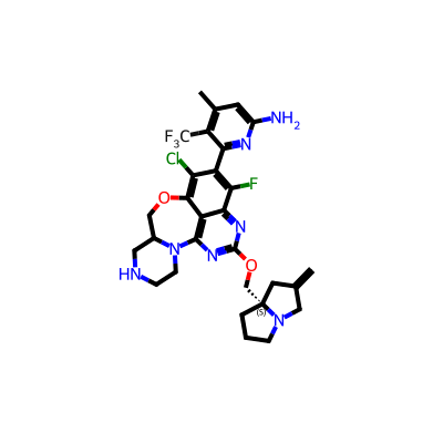 C=C1CN2CCC[C@@]2(COc2nc3c4c(c(Cl)c(-c5nc(N)cc(C)c5C(F)(F)F)c(F)c4n2)OCC2CNCCN32)C1